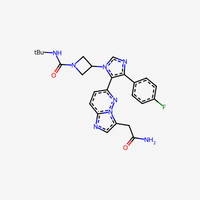 CC(C)(C)NC(=O)N1CC(n2cnc(-c3ccc(F)cc3)c2-c2ccc3ncc(CC(N)=O)n3n2)C1